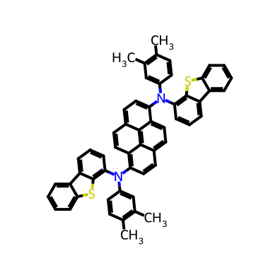 Cc1ccc(N(c2ccc3ccc4c(N(c5ccc(C)c(C)c5)c5cccc6c5sc5ccccc56)ccc5ccc2c3c54)c2cccc3c2sc2ccccc23)cc1C